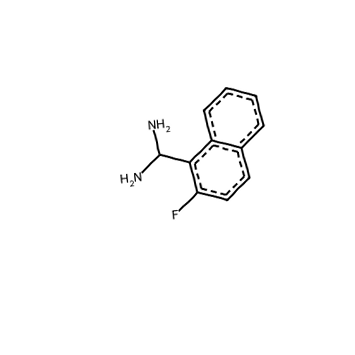 NC(N)c1c(F)ccc2ccccc12